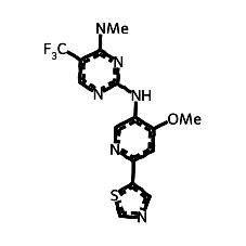 CNc1nc(Nc2cnc(-c3cncs3)cc2OC)ncc1C(F)(F)F